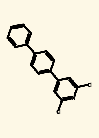 Clc1cc(-c2ccc(-c3ccccc3)cc2)cc(Cl)n1